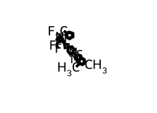 Cc1cc(C)c2nc(N3CCC4(CC3)CC(c3c(C(F)F)cnn3-c3ccccc3C(F)(F)F)C4)sc2c1